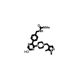 CNC(=O)NCc1ccc(-c2nccnc2N2CCN(Cc3cnn(C)c3C)CC2)cc1.Cl